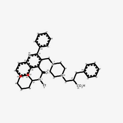 CCN(C(=O)c1c(CN2CCN(CC(Cc3ccccc3)C(=O)O)CC2)c(-c2ccccc2)nc2ccccc12)C1CCCCC1